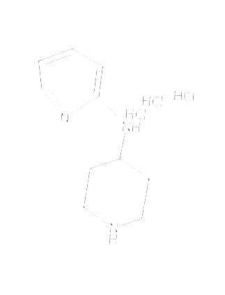 Cl.Cl.Cl.c1ccc(NC2CCNCC2)nc1